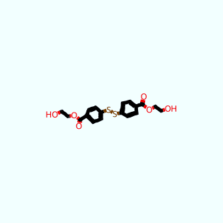 O=C(OCCO)c1ccc(SSc2ccc(C(=O)OCCO)cc2)cc1